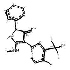 CNC1=C(c2ccc(C)c(C(F)(F)F)c2)C(=O)C(c2ccccc2)N1